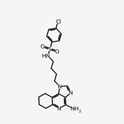 Nc1nc2c(c3c1ncn3CCCCNS(=O)(=O)c1ccc(Cl)cc1)CCCC2